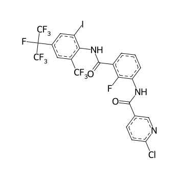 O=C(Nc1cccc(C(=O)Nc2c(I)cc(C(F)(C(F)(F)F)C(F)(F)F)cc2C(F)(F)F)c1F)c1ccc(Cl)nc1